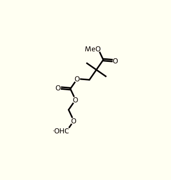 COC(=O)C(C)(C)COC(=O)OCO[C]=O